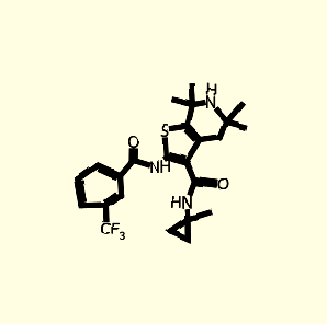 CC1(C)Cc2c(sc(NC(=O)c3cccc(C(F)(F)F)c3)c2C(=O)NC2(C)CC2)C(C)(C)N1